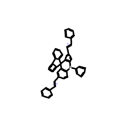 C(=C\c1ccc2c(c1)C1(c3ccccc3-c3ccccc31)c1cc(/C=C/c3ccccc3)ccc1P2c1ccccc1)/c1ccccc1